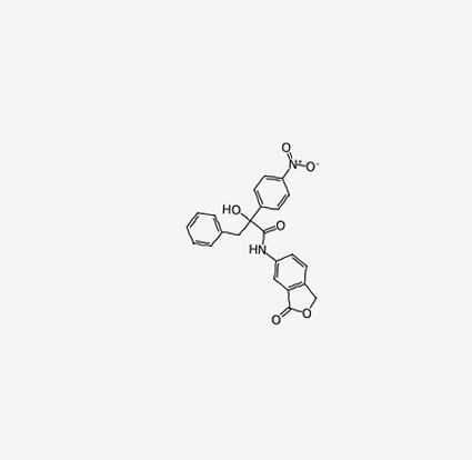 O=C1OCc2ccc(NC(=O)C(O)(Cc3ccccc3)c3ccc([N+](=O)[O-])cc3)cc21